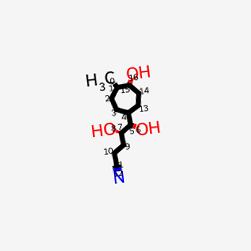 CC1CCC(C(O)[C@H](O)CCC#N)CCC1O